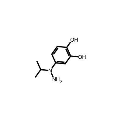 CC(C)N(N)c1ccc(O)c(O)c1